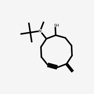 C=C1C#CCCC(N(C)C(C)(C)C)C(S)CCC1